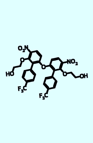 O=[N+]([O-])c1ccc(Oc2ccc([N+](=O)[O-])c(OCCO)c2-c2ccc(C(F)(F)F)cc2)c(-c2ccc(C(F)(F)F)cc2)c1OCCO